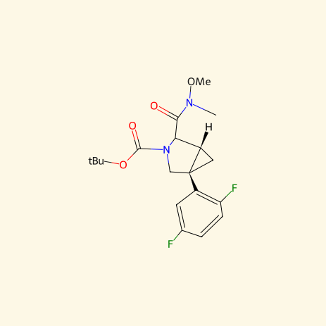 CON(C)C(=O)C1[C@@H]2C[C@]2(c2cc(F)ccc2F)CN1C(=O)OC(C)(C)C